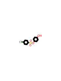 O=S(=O)(Oc1ccc(O)cc1)c1ccc(Cl)cc1